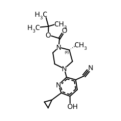 C[C@@H]1CN(c2nc(C3CC3)c(O)cc2C#N)CCN1C(=O)OC(C)(C)C